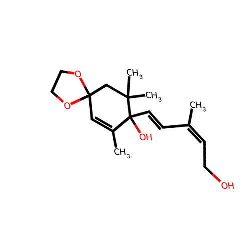 CC1=CC2(CC(C)(C)C1(O)/C=C/C(C)=C\CO)OCCO2